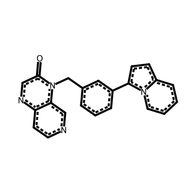 O=c1cnc2ccncc2n1Cc1cccc(-c2ccc3ccccn23)c1